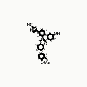 COc1ccc([C@H]2CC[C@H](CN(c3cccc(-c4cnc(C#N)s4)c3)C(=O)[C@H]3CC[C@H](O)CC3)CC2)cc1C